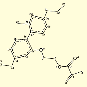 C=C(C)C(=O)OCCOc1cc(CO)ccc1-c1ccc(CCC)cc1C